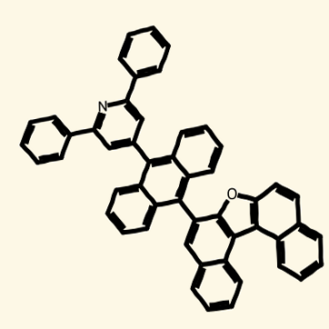 c1ccc(-c2cc(-c3c4ccccc4c(-c4cc5ccccc5c5c4oc4ccc6ccccc6c45)c4ccccc34)cc(-c3ccccc3)n2)cc1